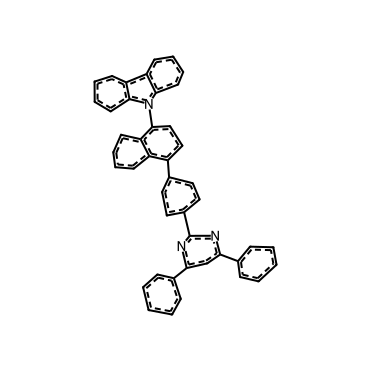 c1ccc(-c2cc(-c3ccccc3)nc(-c3ccc(-c4ccc(-n5c6ccccc6c6ccccc65)c5ccccc45)cc3)n2)cc1